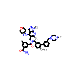 CCc1nc2c(cnn2CC)c(NC2CCOCC2)c1CN(Cc1ccc(OC)c(-c2cccc(CN3CCN(CC)CC3)c2)c1)C(=O)c1cc(C)cc(C(N)=O)c1